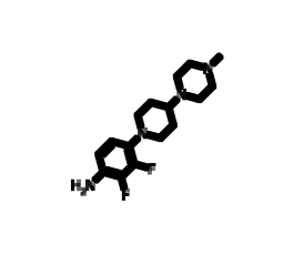 CN1CCN(C2CCN(c3ccc(N)c(F)c3F)CC2)CC1